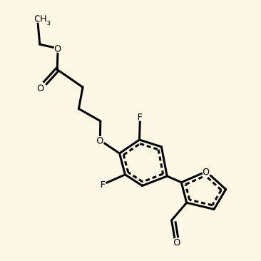 CCOC(=O)CCCOc1c(F)cc(-c2occc2C=O)cc1F